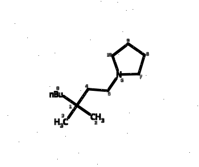 CCCCC(C)(C)CCN1CCCC1